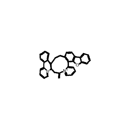 C=C1CC2C(CCc3ccc4c(oc5ccccc54)c3-c3cccc[n+]31)c1ccccc1-c1cccc[n+]12